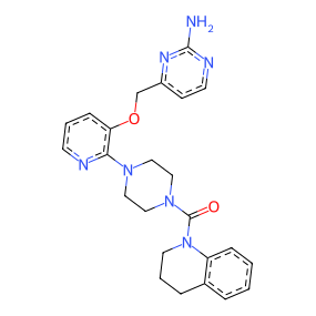 Nc1nccc(COc2cccnc2N2CCN(C(=O)N3CCCc4ccccc43)CC2)n1